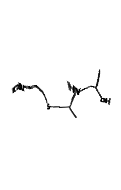 CCCCCSC(C)NC(C)O